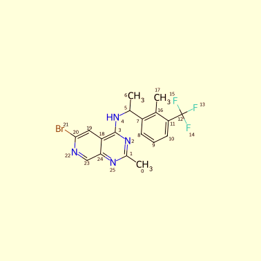 Cc1nc(NC(C)c2cccc(C(F)(F)F)c2C)c2cc(Br)ncc2n1